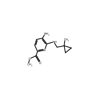 COC(=O)c1ccc(N)c(NCC2(C)CC2)n1